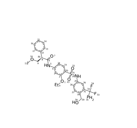 CCOc1cc(NC(=O)[C@@H](COI)c2ccccc2)ccc1S(=O)(=O)Nc1ccc(CO)c(C(F)(F)P)c1